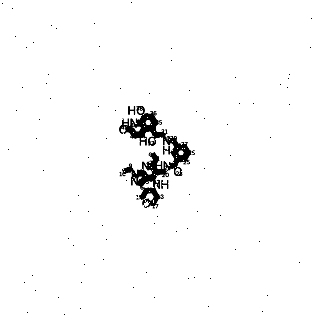 CCc1nc2c(cnn2CC)c(NC2CCOCC2)c1CNC(=O)c1cccc(CNCC(O)c2ccc(O)c3[nH]c(=O)ccc23)c1